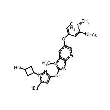 C=N/C(=C\C(=C/C)Oc1cnc2nc(Nc3cc(C(C)(C)C)n(C4CC(O)C4)n3)n(C)c2c1)NC(C)=O